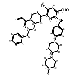 C=CC(=O)N1CCN(c2nc(Nc3ccc(N4CCC(N5CCN(C)CC5)CC4)cc3)c(C=O)nc2CC)C[C@@H]1COCc1ccccc1